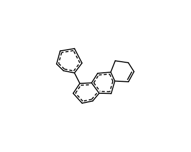 C1=Cc2cc3cccc(-c4ccccc4)c3cc2CC1